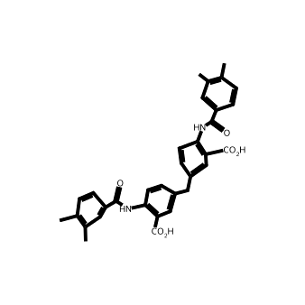 Cc1ccc(C(=O)Nc2ccc(Cc3ccc(NC(=O)c4ccc(C)c(C)c4)c(C(=O)O)c3)cc2C(=O)O)cc1C